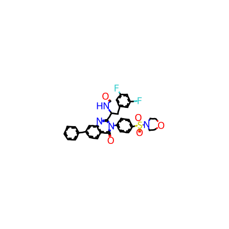 O=CNC(Cc1cc(F)cc(F)c1)c1nc2cc(-c3ccccc3)ccc2c(=O)n1-c1ccc(S(=O)(=O)N2CCOCC2)cc1